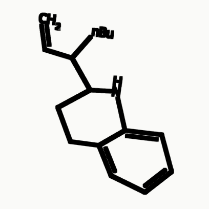 C=CC(CCCC)C1CCc2ccccc2N1